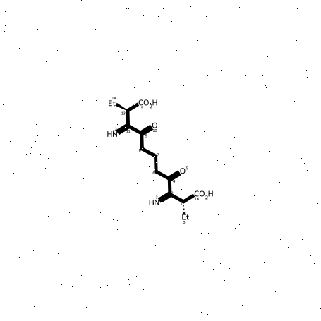 CC[C@H](C(=N)C(=O)CCCC(=O)C(=N)[C@@H](CC)C(=O)O)C(=O)O